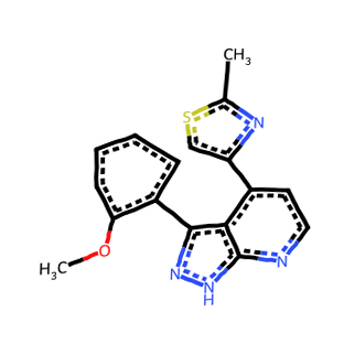 COc1ccccc1-c1n[nH]c2nccc(-c3csc(C)n3)c12